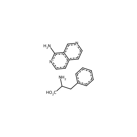 NC(Cc1ccccc1)C(=O)O.Nc1nccc2ccncc12